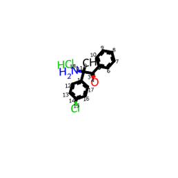 CC(N)(C(=O)c1ccccc1)c1ccc(Cl)cc1.Cl